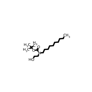 CCCCCCCCCCN(CCO)C(=O)OC(C)(C)C